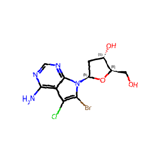 Nc1ncnc2c1c(Cl)c(Br)n2[C@H]1C[C@H](O)[C@@H](CO)O1